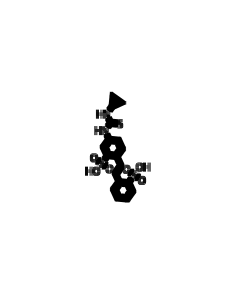 O=S(=O)(O)c1ccccc1/C=C/c1ccc(NC(=S)NC2CC2)cc1S(=O)(=O)O